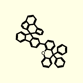 c1ccc(C2(c3ccccc3)c3ccccc3Oc3c(-c4ccc5c(c4)C4(c6ccccc6-5)c5ccccc5-c5cccc6cccc4c56)cccc32)cc1